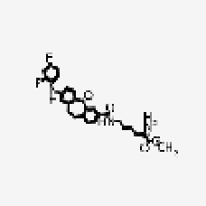 COC(=O)[C@@H](N)CCCCNC(=O)c1ccc2c(c1)C(=O)c1ccc(Nc3ccc(F)cc3F)cc1CC2